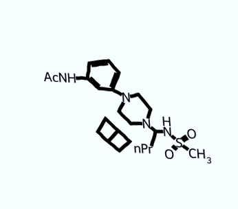 C1CC2CCC12.CCCC(NS(C)(=O)=O)N1CCN(c2cccc(NC(C)=O)c2)CC1